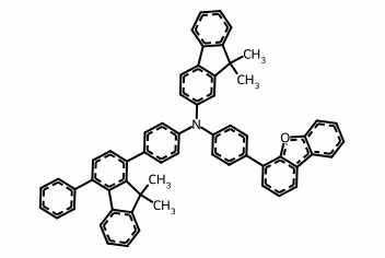 CC1(C)c2ccccc2-c2ccc(N(c3ccc(-c4ccc(-c5ccccc5)c5c4C(C)(C)c4ccccc4-5)cc3)c3ccc(-c4cccc5c4oc4ccccc45)cc3)cc21